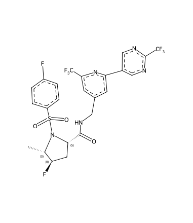 C[C@H]1[C@H](F)C[C@@H](C(=O)NCc2cc(-c3cnc(C(F)(F)F)nc3)nc(C(F)(F)F)c2)N1S(=O)(=O)c1ccc(F)cc1